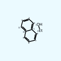 CCO.c1ccc2ccccc2c1